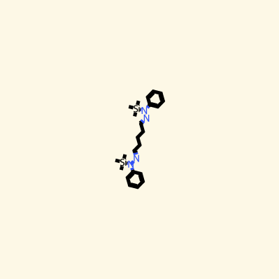 C[Si](C)(C)N(/N=C/CCC/C=N/N(c1ccccc1)[Si](C)(C)C)c1ccccc1